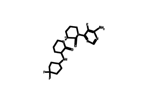 Nc1ncnc(N2CCC[C@@H](N3CCCC(NC4CCC(F)(F)CC4)C3=O)C2=O)c1F